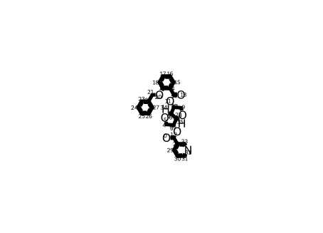 O=C(O[C@@H]1CO[C@H]2[C@@H]1OC[C@@H]2OC(=O)c1ccccc1OCc1ccccc1)c1cccnc1